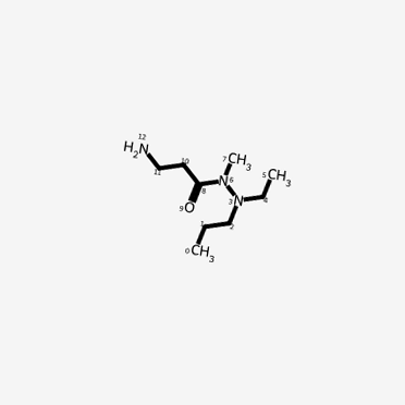 CCCN(CC)N(C)C(=O)CCN